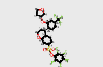 O=S(=O)(Oc1c(F)c(F)c(F)c(F)c1F)c1ccc2c(c1)OCC[C@H]2c1ccc(C(F)(F)F)cc1O[C@H]1CCOC1